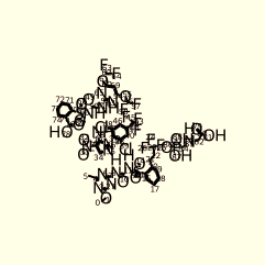 COc1nc(C)nc(NC(=O)NS(=O)(=O)c2ccccc2CCC(F)(F)F)n1.Nc1c([N+](=O)[O-])cnn1-c1c(Cl)cc(C(F)(F)F)cc1Cl.O=C(Nc1nc(OC(F)F)cc(OC(F)F)n1)NS(=O)(=O)c1ccccc1C(=O)O.O=C(O)CNCP(=O)(O)O